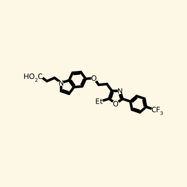 CCc1oc(-c2ccc(C(F)(F)F)cc2)nc1CCOc1ccc2c(ccn2CCC(=O)O)c1